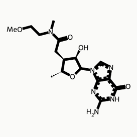 COCCN(C)C(=O)C[C@@H]1[C@@H](C)OC(n2cnc3c(=O)[nH]c(N)nc32)[C@@H]1O